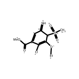 CCOC1=C(Cl)C(C(=O)OC)=CC(=N)C1S(C)(=O)=O